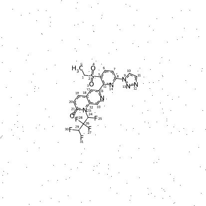 CCS(=O)(=O)c1ccc(-n2ccnn2)nc1-c1cc2ccc(=O)n(C(F)C(F)(F)C(F)F)c2cn1